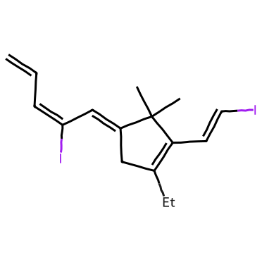 C=C/C=C(I)\C=C1/CC(CC)=C(/C=C/I)C1(C)C